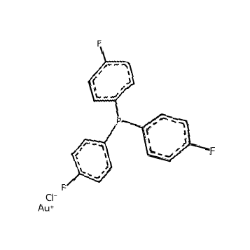 Fc1ccc(P(c2ccc(F)cc2)c2ccc(F)cc2)cc1.[Au+].[Cl-]